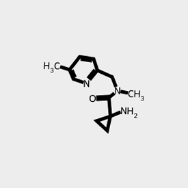 Cc1ccc(CN(C)C(=O)C2(N)CC2)nc1